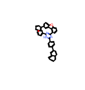 c1ccc(-c2ccc3oc4cccc(C5=NC(c6ccccc6)NC(c6ccc(-c7ccc8ccccc8c7)cc6)=N5)c4c3c2)cc1